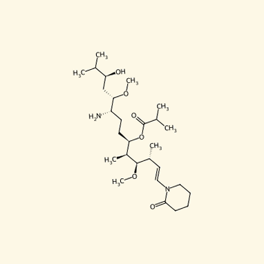 CO[C@@H]([C@@H](C)[C@@H](CC[C@H](N)[C@H](C[C@H](O)C(C)C)OC)OC(=O)C(C)C)[C@H](C)/C=C/N1CCCCC1=O